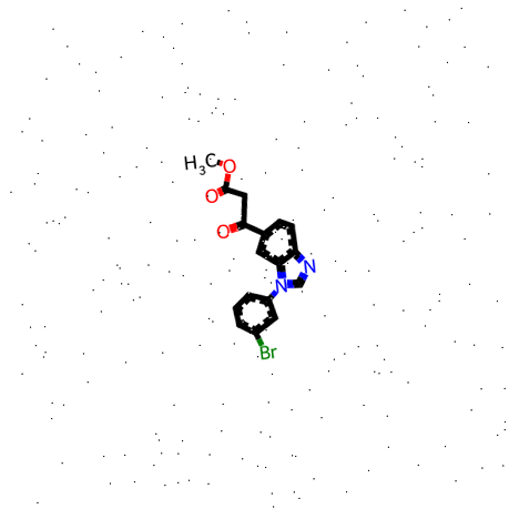 COC(=O)CC(=O)c1ccc2ncn(-c3cccc(Br)c3)c2c1